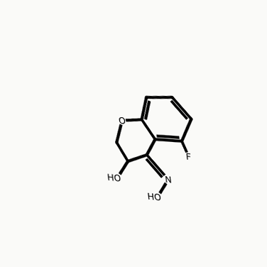 ON=C1c2c(F)cccc2OCC1O